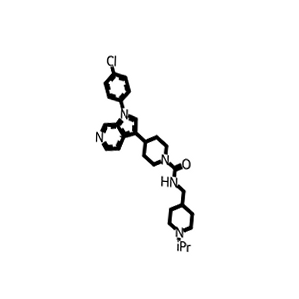 CC(C)N1CCC(CNC(=O)N2CCC(c3cn(-c4ccc(Cl)cc4)c4cnccc34)CC2)CC1